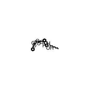 CCCCCCCC[C@@H]1[C@H]2Cc3cccc(OCC(=O)OC(C)CC(=O)OCc4ccccc4)c3C[C@H]2C[C@H]1O